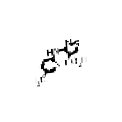 Cc1ccc(Nc2nscc2C(=O)O)nc1